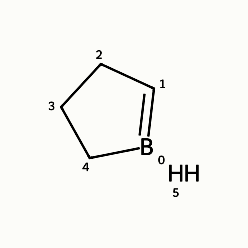 B1=CCCC1.[HH]